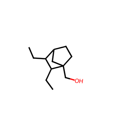 CCC1C2CCC(CO)(C2)C1CC